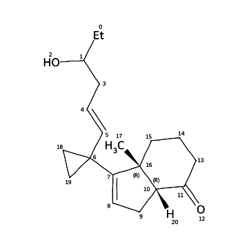 CCC(O)CC=CC1(C2=CC[C@H]3C(=O)CCC[C@@]23C)CC1